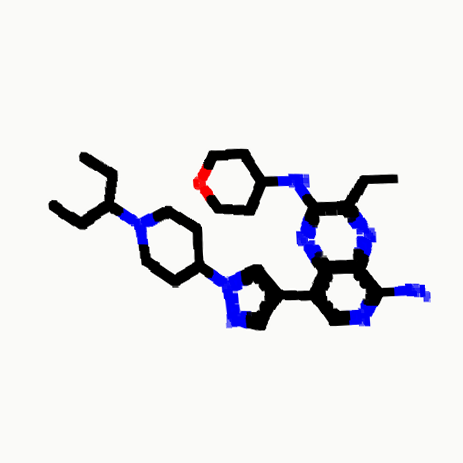 CCc1nc2c(N)ncc(-c3cnn(C4CCN(C(CC)CC)CC4)c3)c2nc1NC1CCOCC1